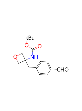 CC(C)(C)OC(=O)NC1(Cc2ccc(C=O)cc2)COC1